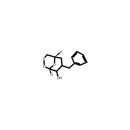 OC1C(Cc2ccccc2)C[C@H]2CSO[C@@H]1O2